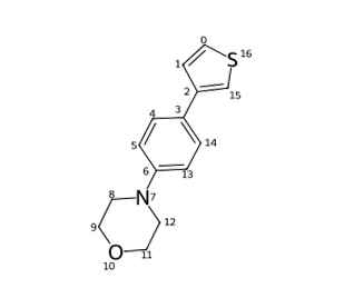 c1cc(-c2ccc(N3CCOCC3)cc2)cs1